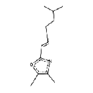 Cc1nc(/C=C/CCC(C)C)oc1C